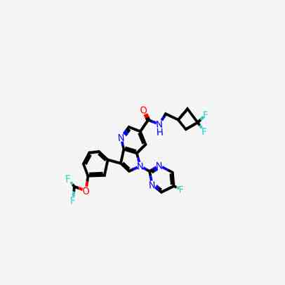 O=C(NCC1CC(F)(F)C1)c1cnc2c(-c3cccc(OC(F)F)c3)cn(-c3ncc(F)cn3)c2c1